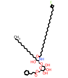 CCCCCCCCCCCCCCC[C@@H](O)[C@H](CO[C@H]1O[C@H](COC(=O)CCc2ccccc2)[C@H](O)[C@H](O)[C@H]1O)NC(=O)CCCCCCCCCCCCCCCCCCCCCCCC12CC(F)(C1)C2